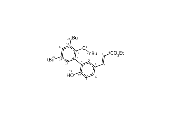 CCCCOc1c(-c2cc(C=CC(=O)OCC)ccc2O)cc(C(C)(C)C)cc1C(C)(C)C